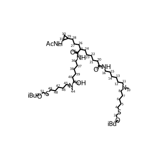 CCC(C)OCSCCCCCN(C)CCCCCCNC(=O)CCCCCC(CCCC1CC1NC(C)=O)C(=O)NCCCCCC(O)N(C)CCCCCSCOC(C)CC